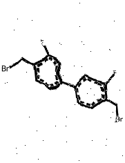 Fc1cc(-c2ccc(CBr)c(F)c2)ccc1CBr